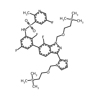 Cc1ncc(F)cc1S(=O)(=O)Nc1cc(F)cc(-c2ccc3c(-c4nccn4COCC[Si](C)(C)C)nn(COCC[Si](C)(C)C)c3c2F)c1F